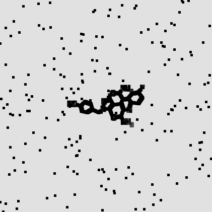 Cc1nn(Cc2ccc(C#N)cc2)c(C)c1-c1c(C(N)=O)nc2ccc(F)cc2c1C(N)=O